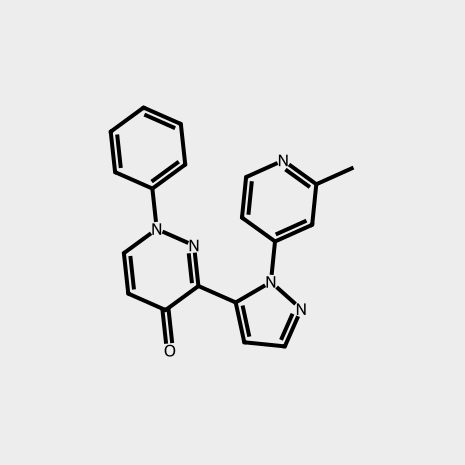 Cc1cc(-n2nccc2-c2nn(-c3ccccc3)ccc2=O)ccn1